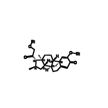 CCOCC(=O)[C@H]1[C@H](C)C[C@H]2[C@@H]3CCC4=CC(=O)C(OCC)=C[C@]4(C)[C@H]3CC[C@@]21C